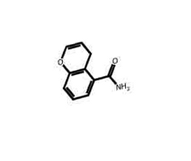 NC(=O)c1cccc2c1CC=CO2